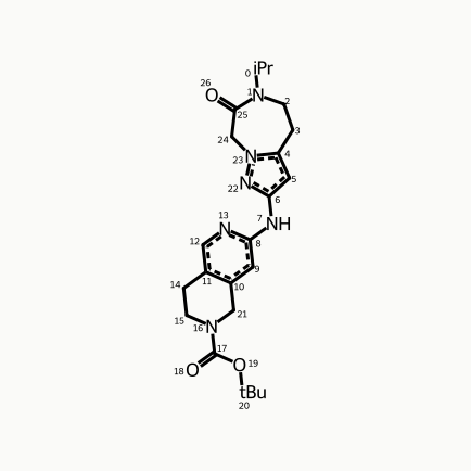 CC(C)N1CCc2cc(Nc3cc4c(cn3)CCN(C(=O)OC(C)(C)C)C4)nn2CC1=O